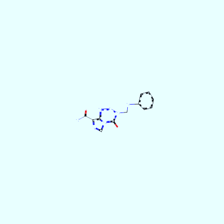 NC(=O)c1ncn2c(=O)n(CNc3ccccc3)nnc12